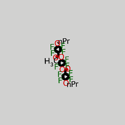 CCCOc1c(F)c(F)c(C(=O)Oc2c(C)c(F)c(OC(=O)c3c(F)c(F)c(OCCC)c(F)c3F)c(F)c2F)c(F)c1F